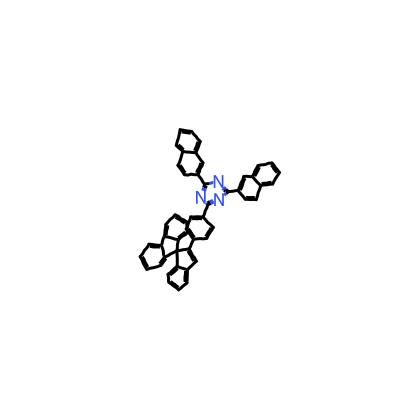 C1=C(c2ccc(-c3nc(-c4ccc5ccccc5c4)nc(-c4ccc5ccccc5c4)n3)cc2)C2(c3ccccc31)c1ccccc1-c1ccccc12